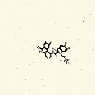 CN(C(=O)c1cc2cc(F)c(F)cc2n1COP(=O)(O)O)C1COCc2[nH]c(=O)c3cc(F)c(F)cc3c21